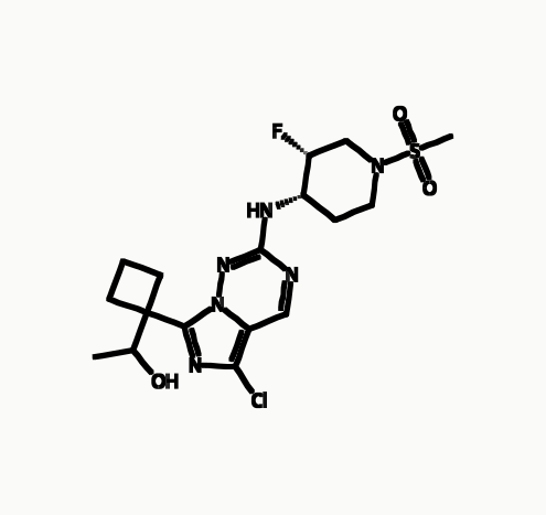 CC(O)C1(c2nc(Cl)c3cnc(N[C@H]4CCN(S(C)(=O)=O)C[C@H]4F)nn23)CCC1